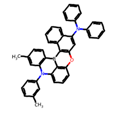 Cc1cccc(N2c3cc(C)ccc3B3c4c(cccc42)Oc2cc(N(c4ccccc4)c4ccccc4)c4ccccc4c23)c1